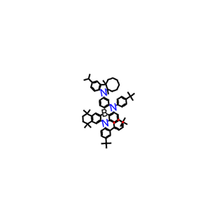 CC(C)c1ccc2c(c1)C1(C)CCCCCCC1(C)N2c1ccc2c(c1)N(c1ccc(C(C)(C)C)cc1)c1cc(C(C)(C)C)cc3c1B2c1cc2c(cc1N3c1ccc(C(C)(C)C)cc1-c1ccccc1)C(C)(C)CCC2(C)C